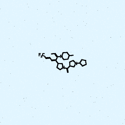 C=C(C1CCN(C2CCCC2)C1)N1CCC(C(=C/C=C/C(F)(F)F)/C(=C\C)N2CCC(C)CC2)C1